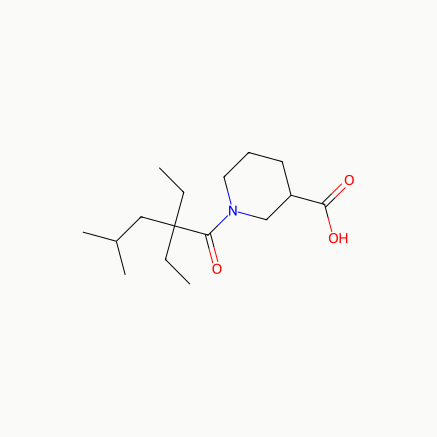 CCC(CC)(CC(C)C)C(=O)N1CCCC(C(=O)O)C1